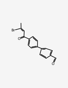 CC(Br)=CC(=O)c1ccc(-c2ccc(C=O)cc2)cc1